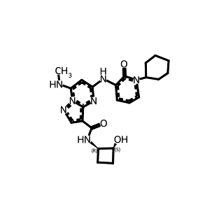 CNc1cc(Nc2cccn(C3CCCCC3)c2=O)nc2c(C(=O)N[C@@H]3CC[C@@H]3O)cnn12